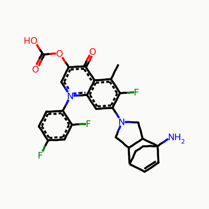 Cc1c(F)c(N2CC3C4C=CC(N)(CC4)C3C2)cc2c1c(=O)c(OC(=O)O)cn2-c1ccc(F)cc1F